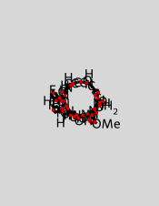 COc1ccc(C[C@@H]2NC(=O)[C@H]([C@@H](C)O)NC(=O)[C@@H]3C[C@H](F)CN3C(=O)[C@H](Cc3c[nH]c4ccc(F)cc34)NC(=O)[C@H](Cc3c[nH]c4ccc(F)cc34)NC(=O)[C@@H](C)NC(=O)CCCCCC(=O)NCc3ccc(cc3)C[C@@H](C(N)=O)NC(=O)[C@]3(C)CCCN3C2=O)cc1